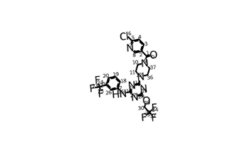 O=C(c1ccc(Cl)nc1)N1CCN(c2nc(Nc3cccc(C(F)(F)F)c3)nc(OCC(F)(F)F)n2)CC1